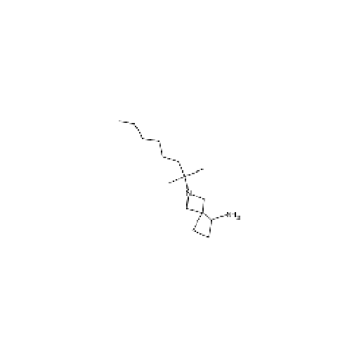 CCCCCCC(C)(C)N1CC2(CCC2N)C1